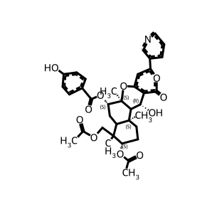 CC(=O)OCC1(C)C2C[C@H](OC(=O)c3ccc(O)cc3)[C@@]3(C)Oc4cc(-c5cccnc5)oc(=O)c4[C@H](O)C3[C@@]2(C)CC[C@@H]1OC(C)=O